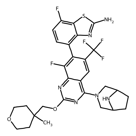 CC1(COc2nc(N3CC4CCC(C3)N4)c3cc(C(F)(F)F)c(-c4ccc(F)c5sc(N)nc45)c(F)c3n2)CCOCC1